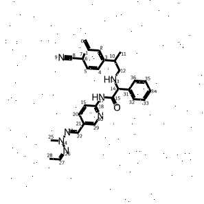 C=C/C=C(\C=C/C(C)C#N)C(C)CNC(C(=O)Nc1ccc(/C=N/N(C)/N=C\C)cn1)c1ccccc1